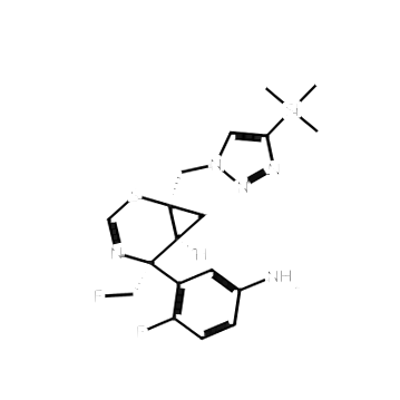 C[Si](C)(C)c1cn(C[C@]23C[C@H]2[C@@](CF)(c2cc(N)ccc2F)N=[C]S3)nn1